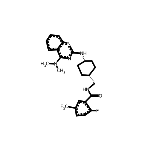 CN(C)c1nc(N[C@H]2CC[C@@H](CNC(=O)c3cc(C(F)(F)F)ccc3F)CC2)nc2ccccc12